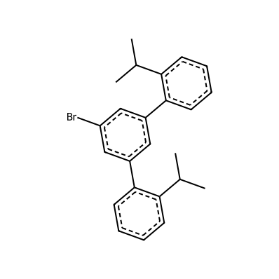 CC(C)c1ccccc1-c1cc(Br)cc(-c2ccccc2C(C)C)c1